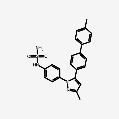 Cc1ccc(-c2ccc(-c3cc(C)nn3-c3ccc(NS(N)(=O)=O)cc3)cc2)cc1